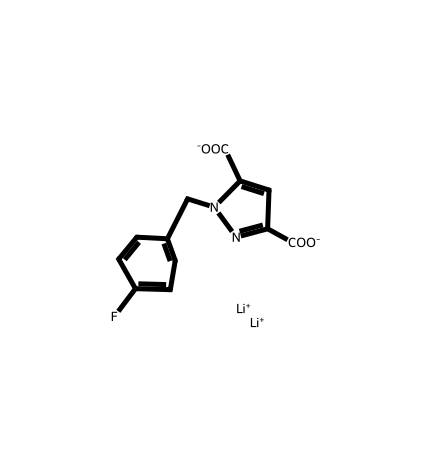 O=C([O-])c1cc(C(=O)[O-])n(Cc2ccc(F)cc2)n1.[Li+].[Li+]